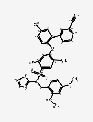 COc1ccc(CN(c2ncns2)S(=O)(=O)c2cc(C)c(Oc3ccc(Cl)cc3-c3ccnc(C#N)c3)cc2F)c(OC)c1